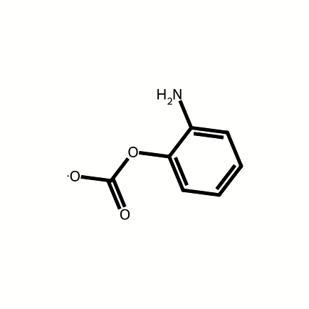 Nc1ccccc1OC([O])=O